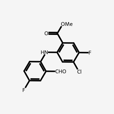 COC(=O)c1cc(F)c(Cl)cc1Nc1ccc(F)cc1C=O